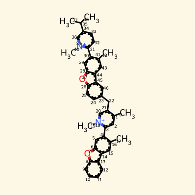 Cc1cc(-c2cc3oc4ccccc4c3cc2C)[n+](C)cc1Cc1ccc2oc3cc(-c4ccc(C(C)C)c[n+]4C)c(C)cc3c2c1